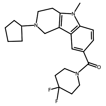 Cn1c2c(c3cc(C(=O)N4CCC(F)(F)CC4)ccc31)CN(C1CCCC1)CC2